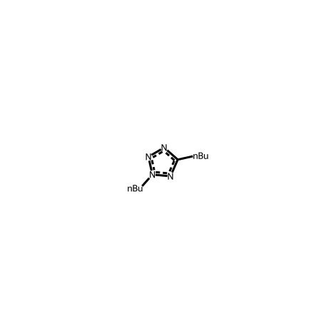 CCCCc1nnn(CCCC)n1